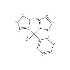 ClC(c1ccccc1)(c1ncco1)c1ncco1